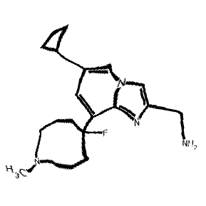 CN1CCC(F)(c2cc(C3CC3)cn3cc(CN)nc23)CC1